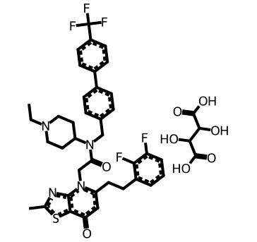 CCN1CCC(N(Cc2ccc(-c3ccc(C(F)(F)F)cc3)cc2)C(=O)Cn2c(CCc3cccc(F)c3F)cc(=O)c3sc(C)nc32)CC1.O=C(O)C(O)C(O)C(=O)O